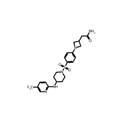 NC(=O)CC1CN(c2ccc(S(=O)(=O)N3CCC(Nc4ccc(C(F)(F)F)cn4)CC3)cc2)C1